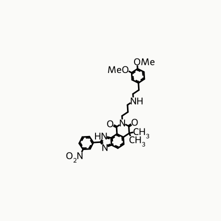 COc1ccc(CCNCCCN2C(=O)c3c(ccc4nc(-c5cccc([N+](=O)[O-])c5)[nH]c34)C(C)(C)C2=O)cc1OC